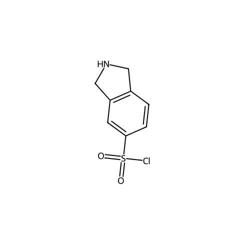 O=S(=O)(Cl)c1ccc2c(c1)CNC2